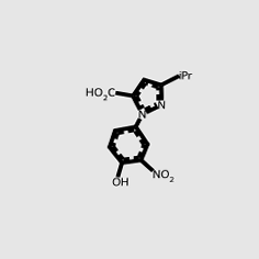 CC(C)c1cc(C(=O)O)n(-c2ccc(O)c([N+](=O)[O-])c2)n1